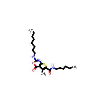 CCCCCCCCNc1nc2sc(C(=O)NCCCCCC)c(C)c2c(=O)o1